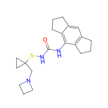 O=C(NSC1(CN2CCC2)CC1)Nc1c2c(cc3c1CCC3)CCC2